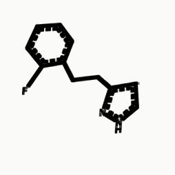 Fc1ccccc1CCc1[c]c[nH]n1